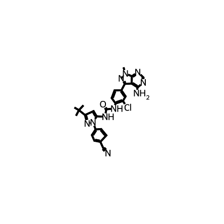 Cn1nc(-c2ccc(NC(=O)Nc3cc(C(C)(C)C)nn3-c3ccc(C#N)cc3)c(Cl)c2)c2c(N)ncnc21